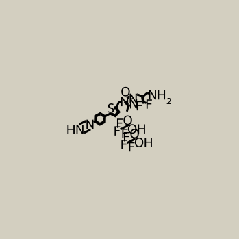 Cc1nn(CC(CN)=C(F)F)c(=O)n1Cc1ccc(-c2ccc(N3CCNCC3)cc2)s1.O=C(O)C(F)(F)F.O=C(O)C(F)(F)F